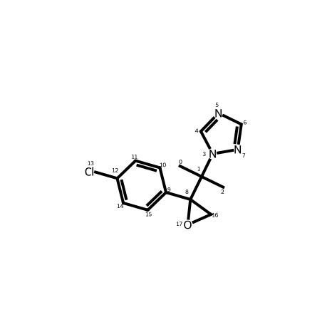 CC(C)(n1cncn1)C1(c2ccc(Cl)cc2)CO1